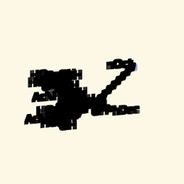 CCCCCCCC/C=C\CCCCCCCCCCCCCC(=O)N[C@@H](CO[C@@H]1OC(CO)[C@@H](O[C@@H]2OC(CO)[C@H](O[C@@H]3OC(CO)[C@H](O)[C@H](O[C@@H]4OC(CO)[C@H](O)[C@H](O)C4O[C@H]4OC(C)[C@@H](O)C(O)[C@@H]4O)C3NC(C)=O)[C@H](O[C@]3(C(=O)O)CC(O)[C@@H](NC(C)=O)C([C@H](O)[C@H](O)CO)O3)C2O)[C@H](O)C1O)[C@H](O)/C=C/CCCCCCCCCCCCC